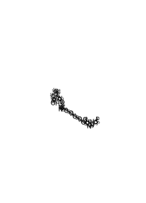 COc1cc2c(Nc3cccc(F)c3)ncnc2cc1OCCOCCOCCOCCOCc1cnnn1CCOc1ccc([C@H]2C[C@@]3(C)C(CC[C@@H]3C)C3CCc4cc(O)ccc4C32)cc1